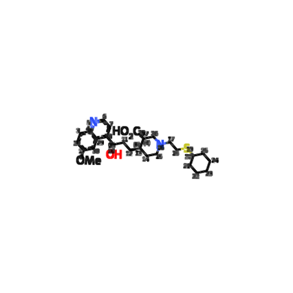 COc1ccc2nccc([C@@H](O)CC[C@@H]3CCN(CCSC4CCCCC4)C[C@@H]3C(=O)O)c2c1